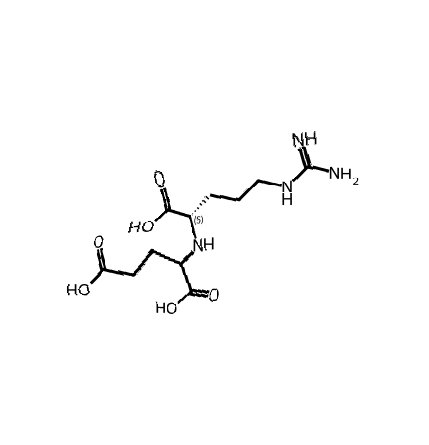 N=C(N)NCCC[C@H](NC(CCC(=O)O)C(=O)O)C(=O)O